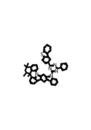 CC1CC(C)(C)c2cccc3c2C1(C)c1cccc2c4cc5c6ccccc6n(-c6nc(-c7ccccc7)nc(-c7ccc8sc9ccccc9c8c7)n6)c5cc4n-3c12